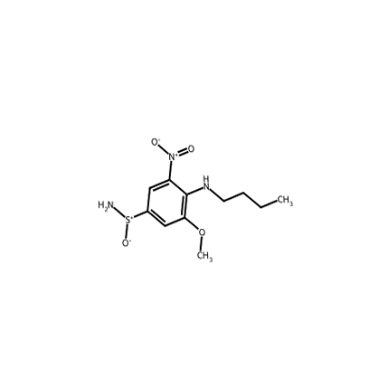 CCCCNc1c(OC)cc([S+](N)[O-])cc1[N+](=O)[O-]